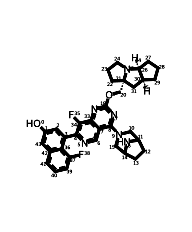 Oc1cc(-c2ncc3c(N4CC5CCC(C4)N5)nc(OC[C@]45CCCN4[C@H]4CCC[C@H]4C5)nc3c2F)c2c(F)cccc2c1